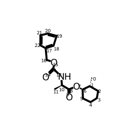 C[C@@H]1CCCC[C@H]1OC(=O)[C@@H](C)NC(=O)OCc1ccccc1